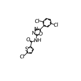 O=C(Nc1nnc(-c2cc(Cl)ccc2Cl)o1)c1ccc(Cl)s1